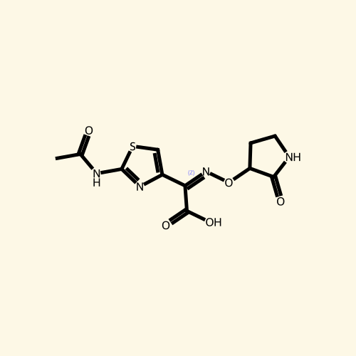 CC(=O)Nc1nc(/C(=N/OC2CCNC2=O)C(=O)O)cs1